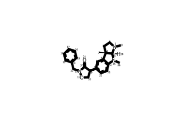 CN1CC[C@@]2(C)c3cc([C]4CON(Cc5ccccc5)C4=O)ccc3N(C)[C@H]12